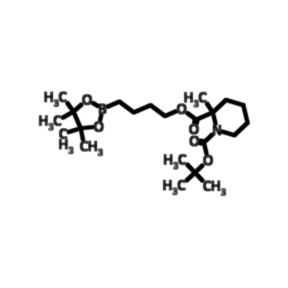 CC(C)(C)OC(=O)N1CCCCC1(C)C(=O)OCCCCB1OC(C)(C)C(C)(C)O1